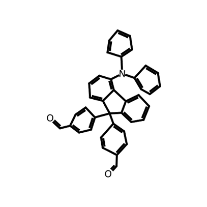 O=Cc1ccc(C2(c3ccc(C=O)cc3)c3ccccc3-c3c(N(c4ccccc4)c4ccccc4)cccc32)cc1